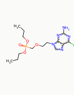 CCCOP(=O)(COCCn1cnc2c(Cl)nc(N)nc21)OCCC